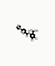 O=C(Nc1cc(Cl)c(Cl)cc1C(=O)O)c1ccc(-n2ccnc2)nn1